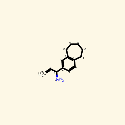 C=CC(N)c1ccc2c(c1)CCCCC2